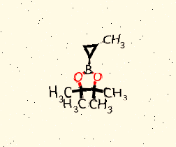 C[C@H]1C[C@@H]1B1OC(C)(C)C(C)(C)O1